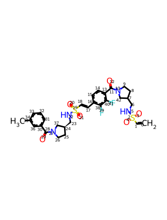 C=CS(=O)(=O)NCC1CCN(C(=O)c2ccc(/C=C/S(=O)(=O)NC[C@H]3CCN(C(=O)c4cccc(C)c4)C3)c(F)c2F)C1